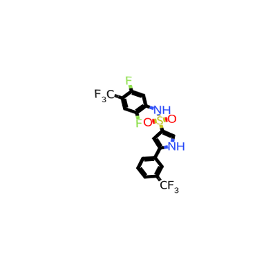 O=S(=O)(Nc1cc(F)c(C(F)(F)F)cc1F)c1c[nH]c(-c2cccc(C(F)(F)F)c2)c1